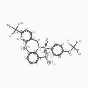 N=C(N)c1cccc2c1N(S(=O)(=O)c1ccc(OC(F)(F)F)cc1)Cc1ccc(C(F)(F)F)nc1N2